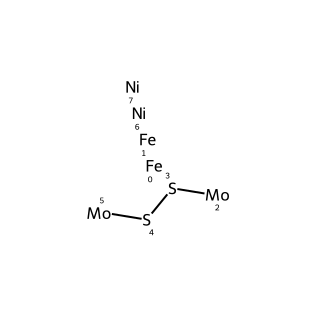 [Fe].[Fe].[Mo][S][S][Mo].[Ni].[Ni]